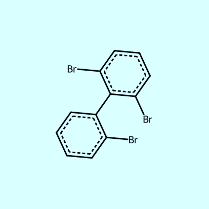 Brc1ccccc1-c1c(Br)cccc1Br